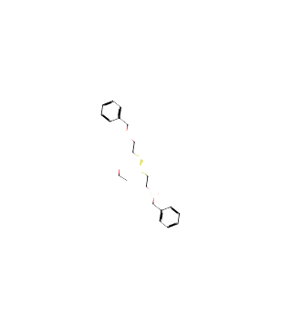 CCO.c1ccc(COCCSSCCOCc2ccccc2)cc1